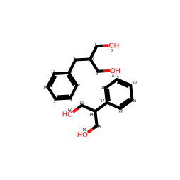 OCC(CO)Cc1ccccc1.OCC(CO)c1ccccc1